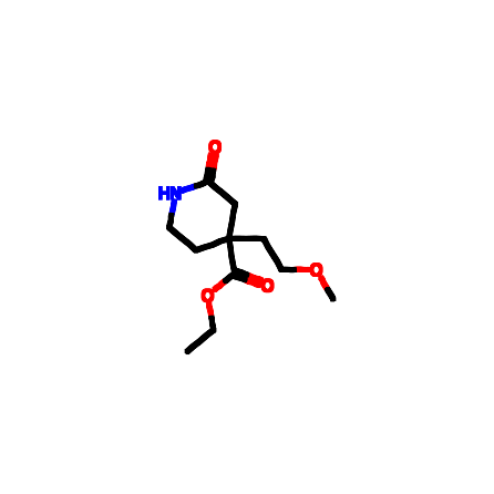 CCOC(=O)C1(CCOC)CCNC(=O)C1